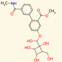 CNC(=O)c1cccc(-c2ccc(OC(O)C3(O)C(O)C(O)C3CO)cc2C(=O)OC)c1